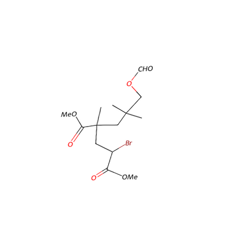 COC(=O)C(Br)CC(C)(CC(C)(C)COC=O)C(=O)OC